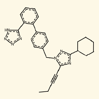 CCC#Cc1nc(C2CCCCC2)nn1Cc1ccc(-c2ccccc2-c2nnn[nH]2)cc1